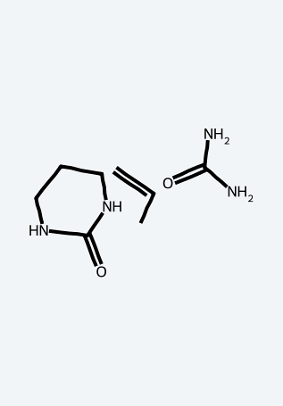 C=CC.NC(N)=O.O=C1NCCCN1